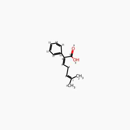 CC(C)=CCC=C(C(=O)O)c1ccccc1